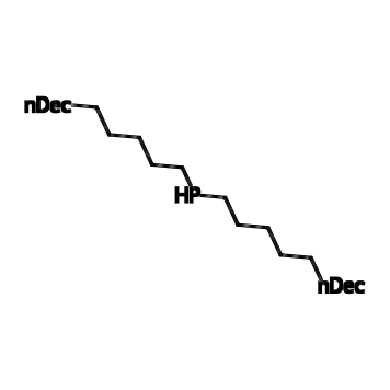 CCCCCCCCCCCCCCCPCCCCCCCCCCCCCCC